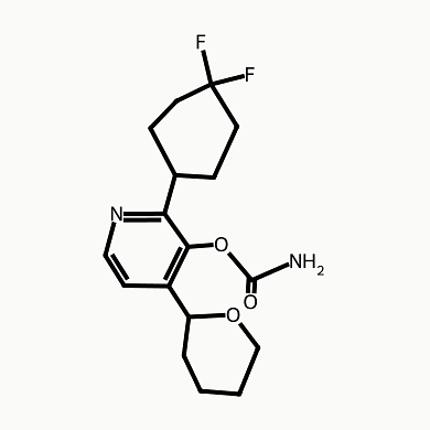 NC(=O)Oc1c(C2CCCCO2)ccnc1C1CCC(F)(F)CC1